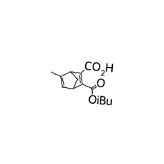 CC1=CC2CC1C(C(=O)O)=C2C(=O)OCC(C)C